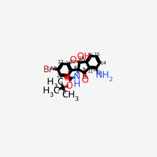 CC(C)(C)OC(=O)NC12C(=O)c3c(N)cccc3[C@]1(O)Oc1cc(Br)ccc12